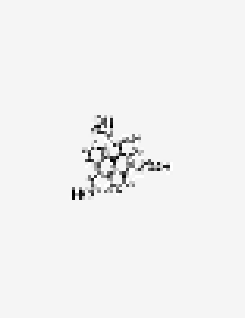 OC=CCc1ccccc1C(c1ccccc1CC=CO)c1ccccc1CC=CO